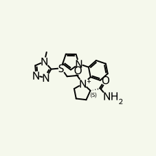 Cn1cnnc1SCC(=O)[N+]1(c2ccccc2-n2cccc2)CCC[C@H]1C(N)=O